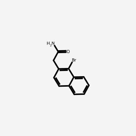 NC(=O)Cc1ccc2ccccc2c1Br